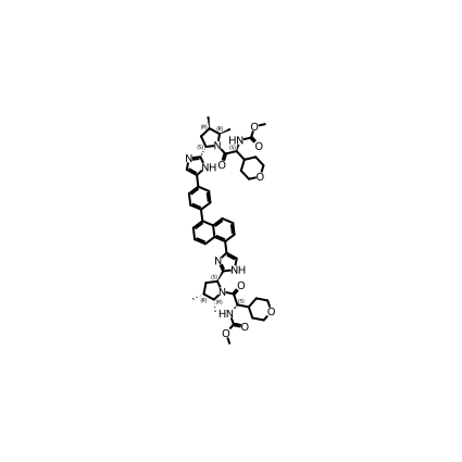 COC(=O)N[C@H](C(=O)N1[C@H](C)[C@H](C)C[C@H]1c1nc(-c2cccc3c(-c4ccc(-c5cnc([C@@H]6C[C@@H](C)[C@@H](C)N6C(=O)[C@@H](NC(=O)OC)C6CCOCC6)[nH]5)cc4)cccc23)c[nH]1)C1CCOCC1